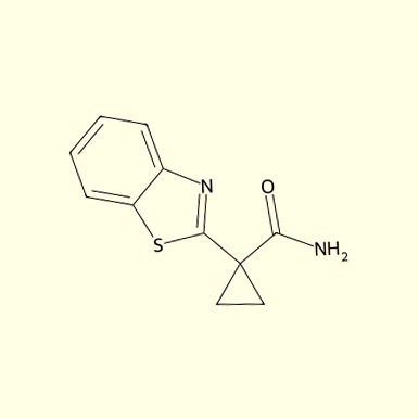 NC(=O)C1(c2nc3ccccc3s2)CC1